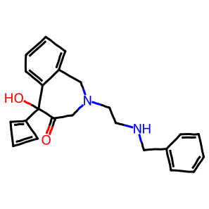 O=C1CN(CCNCc2ccccc2)Cc2ccccc2C1(O)C1=CC=C1